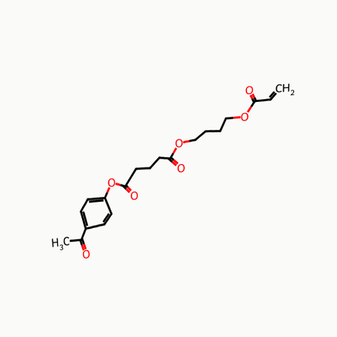 C=CC(=O)OCCCCOC(=O)CCCC(=O)Oc1ccc(C(C)=O)cc1